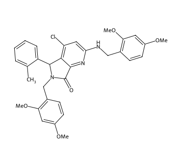 COc1ccc(CNc2cc(Cl)c3c(n2)C(=O)N(Cc2ccc(OC)cc2OC)C3c2ccccc2C)c(OC)c1